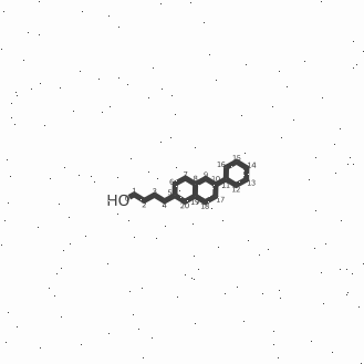 OCCCCC1CCC2CC(C3CCCCC3)CCC2C1